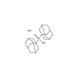 Cl.O=P(O)(C12CC3CC(CC(C3)C1)C2)C12CC3CC(CC(C3)C1)C2